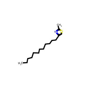 CCCCCCCCCCCCc1csc(C)n1